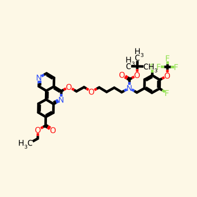 CCOC(=O)c1ccc2c(c1)nc(OCCOCCCCN(Cc1cc(F)c(OC(F)(F)F)c(F)c1)C(=O)OC(C)(C)C)c1ccncc12